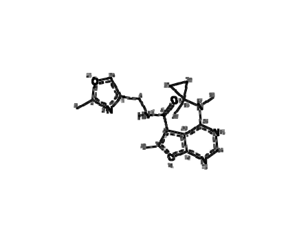 Cc1nc(CNC(=O)c2c(C)oc3ncnc(N(C)C4(C)CC4)c23)co1